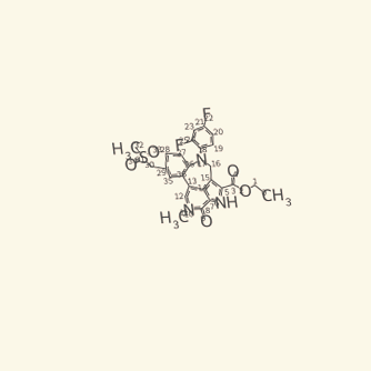 CCOC(=O)c1[nH]c2c(=O)n(C)cc3c2c1CN(c1ccc(F)cc1F)c1ccc(CS(C)(=O)=O)cc1-3